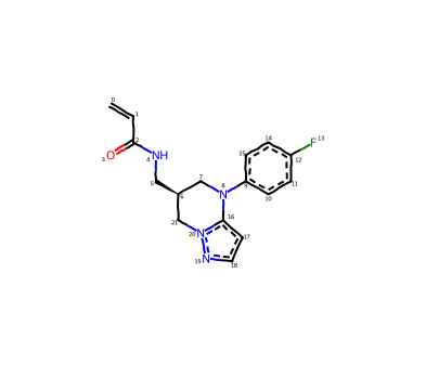 C=CC(=O)NC[C@H]1CN(c2ccc(F)cc2)c2ccnn2C1